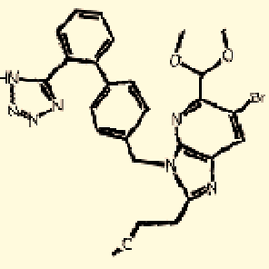 CCCCc1nc2cc(Br)c(C(OC)OC)nc2n1Cc1ccc(-c2ccccc2-c2nnn[nH]2)cc1